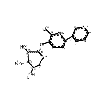 O[C@@H]1[C@@H](O)[C@H](Oc2ccc(-c3cccnc3)nc2Cl)SC[C@H]1O